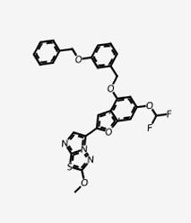 COc1nn2c(-c3cc4c(OCc5cccc(OCc6ccccc6)c5)cc(OC(F)F)cc4o3)cnc2s1